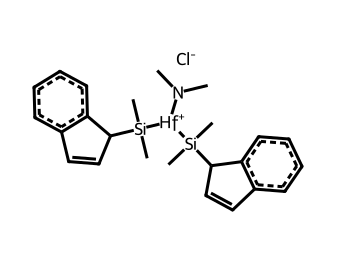 C[N](C)[Hf+]([Si](C)(C)C1C=Cc2ccccc21)[Si](C)(C)C1C=Cc2ccccc21.[Cl-]